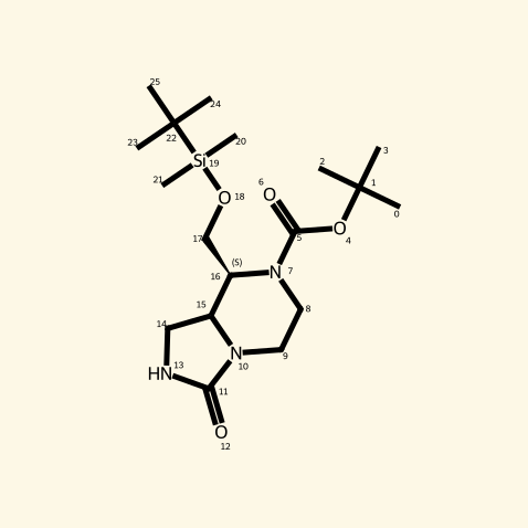 CC(C)(C)OC(=O)N1CCN2C(=O)NCC2[C@H]1CO[Si](C)(C)C(C)(C)C